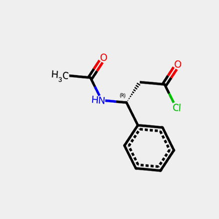 CC(=O)N[C@H](CC(=O)Cl)c1ccccc1